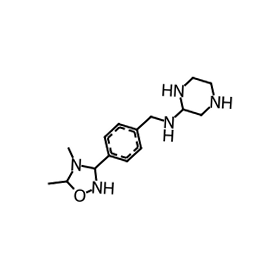 CC1ONC(c2ccc(CNC3CNCCN3)cc2)N1C